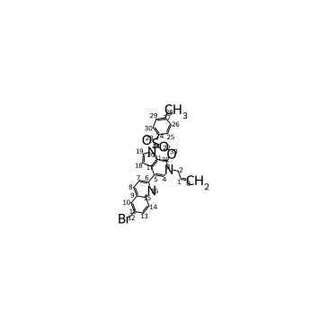 C=CCn1cc(-c2ccc3cc(Br)ccc3n2)c2ccn(S(=O)(=O)c3ccc(C)cc3)c2c1=O